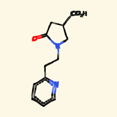 O=C(O)C1CC(=O)N(CCc2ccccn2)C1